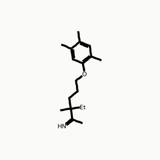 CCC(C)(CCCOc1cc(C)c(C)cc1C)C(C)=N